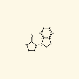 O=C1OCCN1[C@H]1CCc2ccccc21